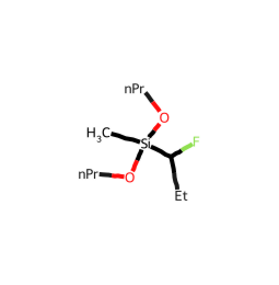 CCCO[Si](C)(OCCC)C(F)CC